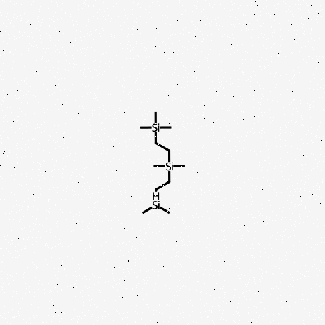 C[SiH](C)CC[Si](C)(C)CC[Si](C)(C)C